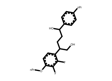 CCCOc1ccc(C(CO)CCC(O)c2ccc(CCC)cc2)c(F)c1F